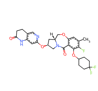 Cc1cc2c(c(OC3CCC(F)(F)CC3)c1F)C(=O)N1C[C@@H](Oc3cc4c(cn3)CCC(=O)N4)C[C@@H]1CO2